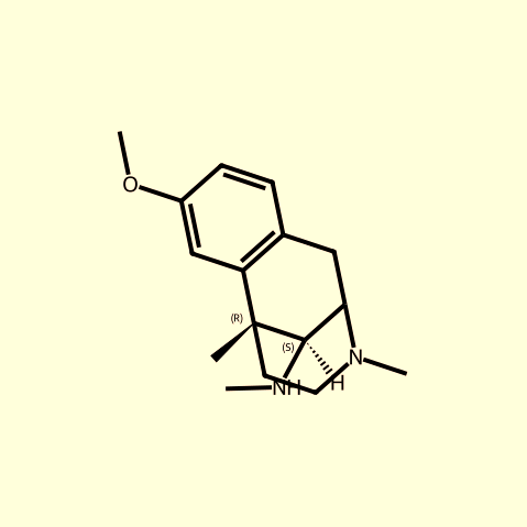 CN[C@@H]1C2Cc3ccc(OC)cc3[C@@]1(C)CCN2C